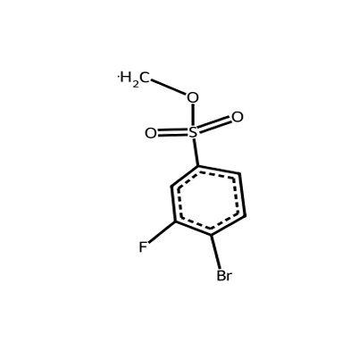 [CH2]OS(=O)(=O)c1ccc(Br)c(F)c1